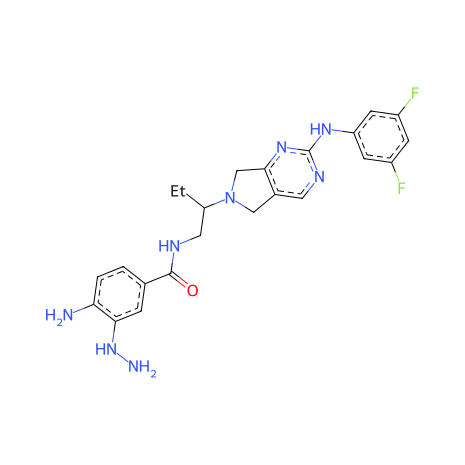 CCC(CNC(=O)c1ccc(N)c(NN)c1)N1Cc2cnc(Nc3cc(F)cc(F)c3)nc2C1